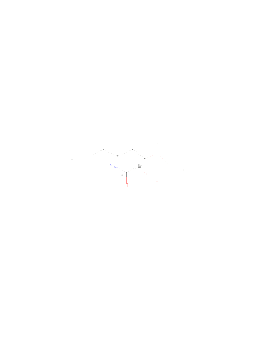 CCCCCCCCCCCCOS(=O)(=O)O.NC(O)CO